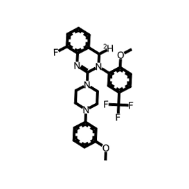 [2H]C1c2cccc(F)c2N=C(N2CCN(c3cccc(OC)c3)CC2)N1c1cc(C(F)(F)F)ccc1OC